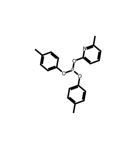 Cc1ccc(OP(Oc2ccc(C)cc2)Oc2cccc(C)n2)cc1